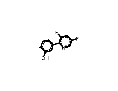 Oc1[c]ccc(-c2ncc(F)cc2F)c1